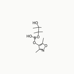 Cc1noc(C)c1OB(O)OC(C)(C)C(C)(C)O